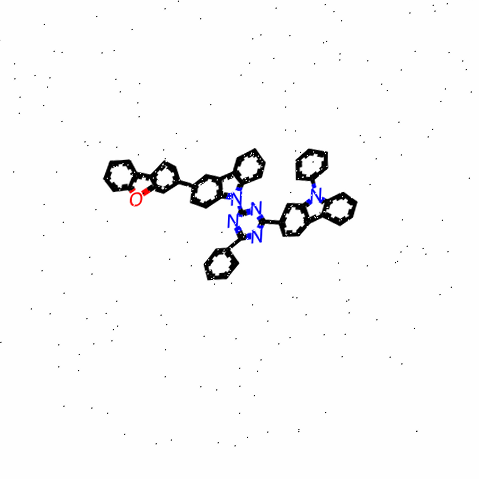 c1ccc(-c2nc(-c3ccc4c5ccccc5n(-c5ccccc5)c4c3)nc(-n3c4ccccc4c4cc(-c5ccc6c(c5)oc5ccccc56)ccc43)n2)cc1